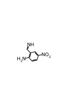 N=Cc1cc([N+](=O)[O-])ccc1N